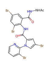 CC(=O)NNC(=O)c1cc(Br)cc(Br)c1NC(=O)c1cc(Br)cn1-c1ncccc1Br